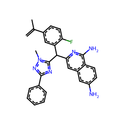 C=C(C)c1ccc(F)c(C(c2cc3cc(N)ccc3c(N)n2)c2nc(-c3ccccc3)nn2C)c1